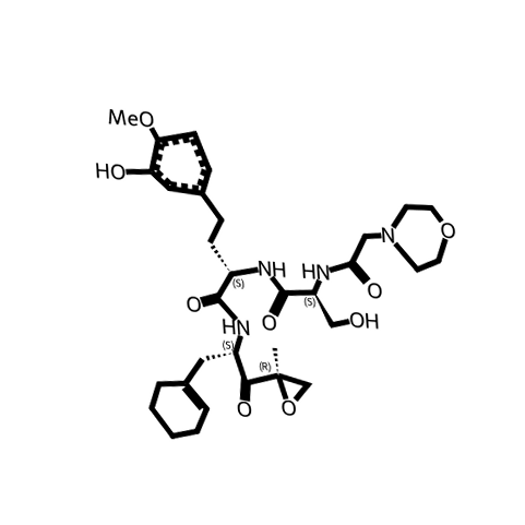 COc1ccc(CC[C@H](NC(=O)[C@H](CO)NC(=O)CN2CCOCC2)C(=O)N[C@@H](CC2=CCCCC2)C(=O)[C@@]2(C)CO2)cc1O